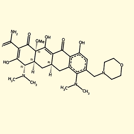 CO[C@@]12C(=O)C(C(N)=O)=C(O)[C@@H](N(C)C)[C@@H]1C[C@@H]1Cc3c(c(O)cc(CN4CCOCC4)c3N(C)C)C(=O)C1=C2O